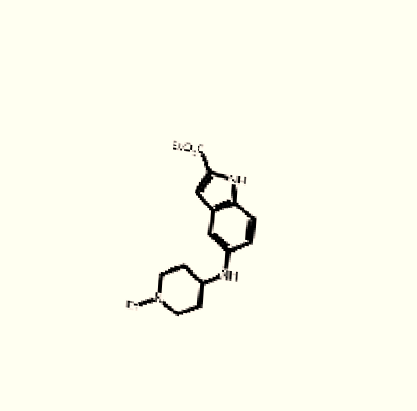 CCOC(=O)c1cc2cc(NC3CCN(CC)CC3)ccc2[nH]1